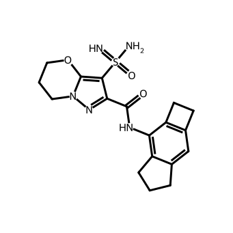 N=S(N)(=O)c1c(C(=O)Nc2c3c(cc4c2CC4)CCC3)nn2c1OCCC2